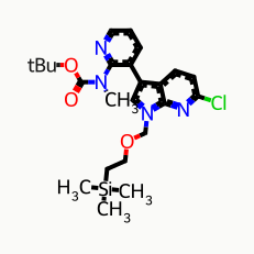 CN(C(=O)OC(C)(C)C)c1ncccc1-c1cn(COCC[Si](C)(C)C)c2nc(Cl)ccc12